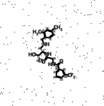 CC[C@H](O)[C@H](CNCc1ccc(C)cc1C)NC(=O)CNC(=O)c1cccc(C(F)(F)F)c1